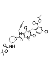 CC#CCn1c(N2CCC[C@@H](NC(=O)OC(C)(C)C)C2)nc2c1c(=O)n(Cc1ccc(Cl)cc1C(=O)OC(C)C)c(=O)n2C